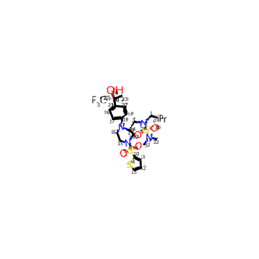 CC(C)CN(C[C@H]1CN(S(=O)(=O)c2cccs2)CCN1c1ccc([C@](C)(O)C(F)(F)F)cc1)S(=O)(=O)N(C)C